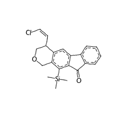 C[Si](C)(C)c1c2c(cc3c1C(=O)c1ccccc1-3)C(/C=C\Cl)COC2